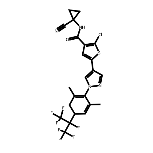 CC1=CC(C(F)(C(F)(F)F)C(F)(F)F)CC(C)=C1n1cc(-c2cc(C(=O)NC3(C#N)CC3)c(Cl)s2)cn1